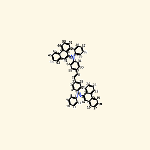 C(=Cc1ccc(N(c2ccccc2)c2cc3ccccc3c3ccccc23)cc1)c1ccc(N(c2ccccc2)c2cc3ccccc3c3ccccc23)cc1